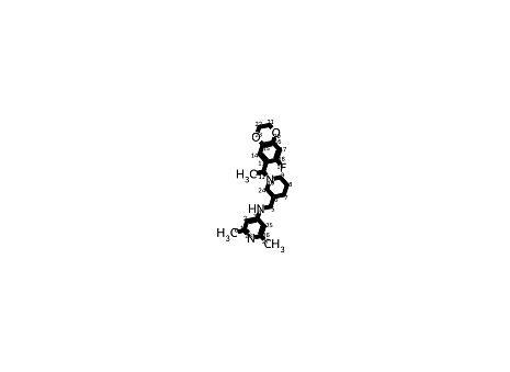 Cc1cc(NCC2CCCN(C(C)c3cc4c(cc3F)OCCO4)C2)cc(C)n1